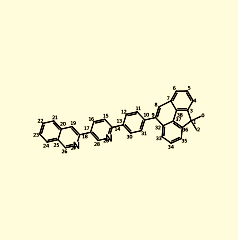 CC1(C)c2cccc3cc(-c4ccc(-c5ccc(-c6cc7ccccc7cn6)cn5)cc4)c4cccc1c4c23